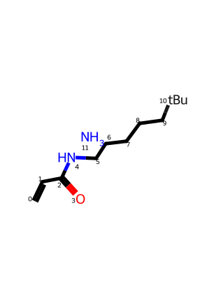 C=CC(=O)NCCCCCC(C)(C)C.N